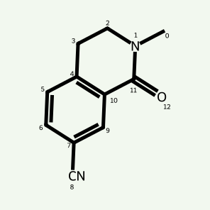 CN1CCc2ccc(C#N)cc2C1=O